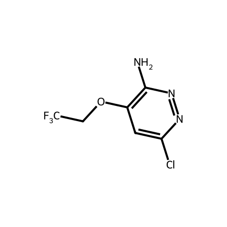 Nc1nnc(Cl)cc1OCC(F)(F)F